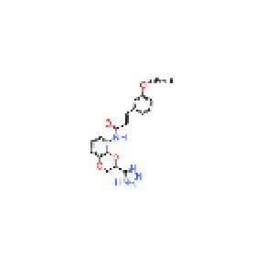 CCCCCOc1cccc(C=CC(=O)Nc2cccc3c2OC(c2nnn[nH]2)CO3)c1